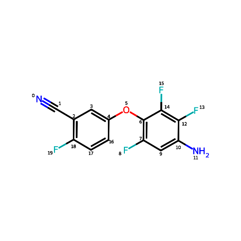 N#Cc1cc(Oc2c(F)cc(N)c(F)c2F)ccc1F